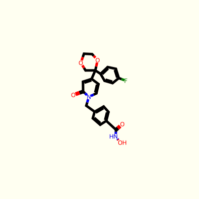 O=C(NO)c1ccc(Cn2ccc(C3(c4ccc(F)cc4)COCCO3)cc2=O)cc1